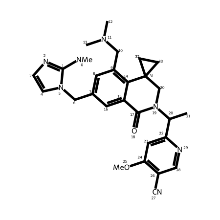 CNc1nccn1Cc1cc(CN(C)C)c2c(c1)C(=O)N(C(C)c1cc(OC)c(C#N)cn1)CC21CC1